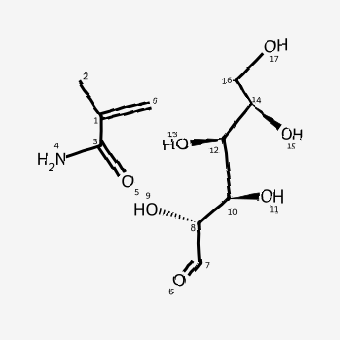 C=C(C)C(N)=O.O=C[C@H](O)[C@H](O)[C@@H](O)[C@H](O)CO